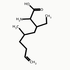 C=CCCC(C)CC(CC)C(N)C(=O)O